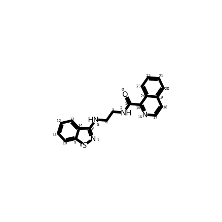 O=C(NCCNc1nsc2ccccc12)c1nccc2ccccc12